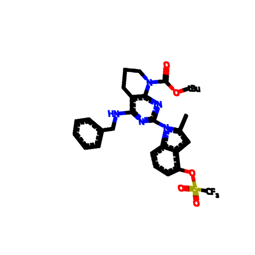 Cc1cc2c(OS(=O)(=O)C(F)(F)F)cccc2n1-c1nc(NCc2ccccc2)c2c(n1)N(C(=O)OC(C)(C)C)CCC2